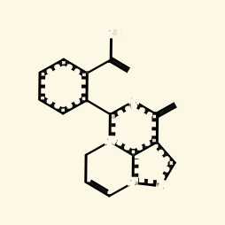 NC(=O)c1ccccc1-c1nc(=O)c2cnn3c2n1CC=C3